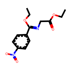 CCOC(=O)CN=C(OCC)c1ccc([N+](=O)[O-])cc1